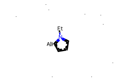 CCn1cccc1.[AlH3]